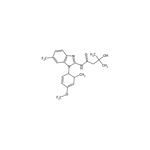 CC1C=C(OC(F)(F)F)C=CC1n1c(NC(=O)CC(C)(C)O)nc2ccc(C(F)(F)F)cc21